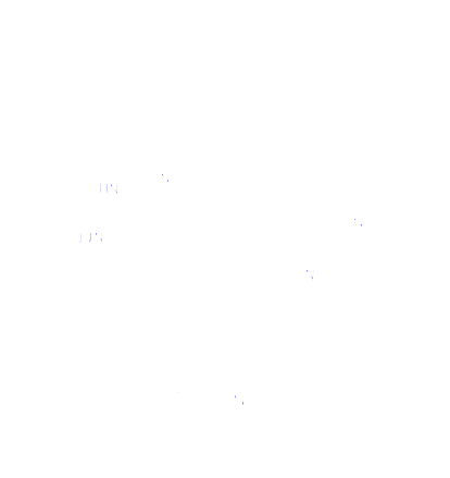 CN1CCN(CC2C(O)=CC=C3NC(C(=O)c4cc5cc(NC(=O)Nc6cc(C(C)(C)C)on6)ccc5o4)=CC32C)CC1